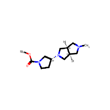 CN1C[C@@H]2CN([C@@H]3CCN(C(=O)OC(C)(C)C)C3)C[C@@H]2C1